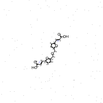 O=C(O)/C=C/c1ccc(COCc2ccc(/C=C/C(=O)O)o2)o1